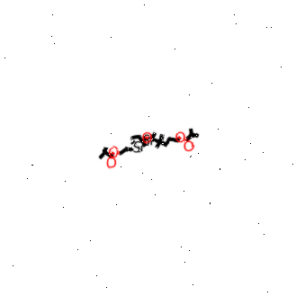 C=C(C)C(=O)OCCCC(C)(C)[Si](C)(C)OC(C)(CC)[Si](C)(C)CCCOC(=O)C(=C)C